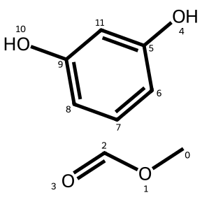 COC=O.Oc1cccc(O)c1